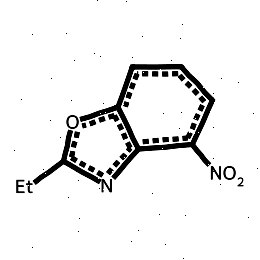 CCc1nc2c([N+](=O)[O-])cccc2o1